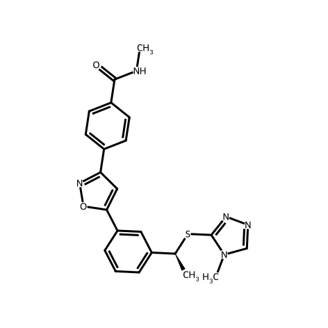 CNC(=O)c1ccc(-c2cc(-c3cccc([C@H](C)Sc4nncn4C)c3)on2)cc1